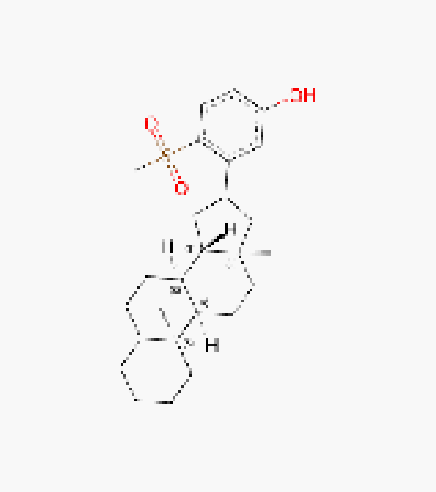 C[C@]12CC[C@@H]3[C@@H](CCC4CCCC[C@@]43C)[C@@H]1CC(c1cc(O)ccc1S(C)(=O)=O)C2